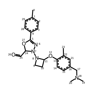 Cc1ccc(C2=NN(N3CCC3Oc3ccc(CN(C)C)cc3C)C(C=O)O2)cc1